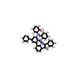 c1ccc(-c2cc3c4c(c2)N2c5ccccc5Oc5cccc(c52)B4n2c4c-3cccc4c3sc4ccccc4c32)cc1